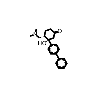 CN(C)C[C@@H]1CCC(=O)C[C@@]1(O)c1ccc(-c2ccccc2)cc1